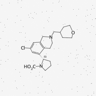 O=C(O)N1CCC[C@H]1c1cc(Cl)cc2c1CCN(CC1CCOCC1)C2